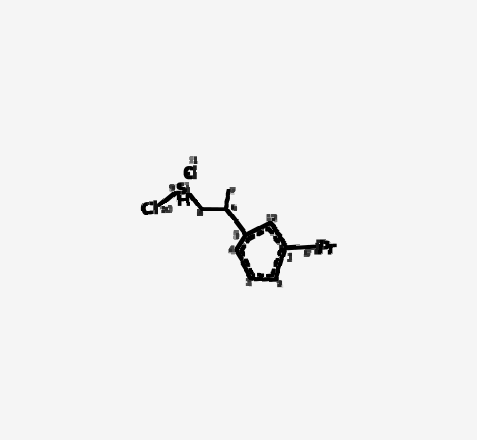 CC(C)c1cccc(C(C)C[SiH](Cl)Cl)c1